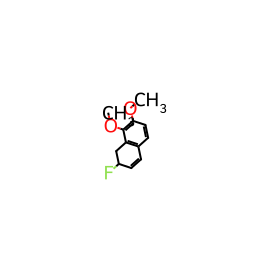 COc1ccc2c(c1OC)CC(F)C=C2